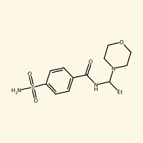 CCC(NC(=O)c1ccc(S(N)(=O)=O)cc1)N1CCOCC1